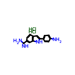 Cl.Cl.N=C(N)c1ccc2cc(-c3ccc(N)cc3)[nH]c2c1